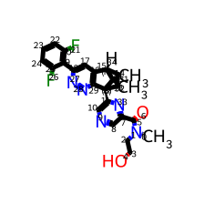 CN(CCO)C(=O)c1cncc([C@@]23CC[C@@H](c4cc(-c5c(F)cccc5F)nnc42)C3(C)C)n1